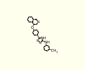 Cc1cccc(Nc2nnc(-c3ccc(Oc4cncc5ccccc45)cc3)[nH]2)c1